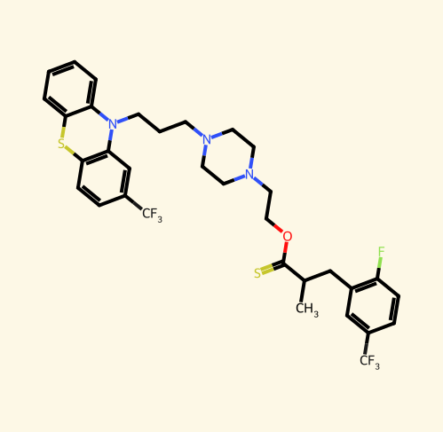 CC(Cc1cc(C(F)(F)F)ccc1F)C(=S)OCCN1CCN(CCCN2c3ccccc3Sc3ccc(C(F)(F)F)cc32)CC1